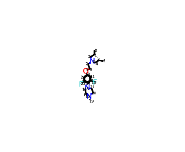 CCCN(CCC)CCOc1cc(F)c(N2CCN(C)CC2)c(F)c1